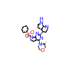 C[C@@H]1COCCN1c1nc(-c2ccnc3[nH]ccc23)nc2c1ccn2S(=O)(=O)c1ccccc1